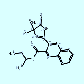 CC(CN)OC(=O)c1cc2ccccc2nc1C1=NC(C)(C(C)C)C(=O)N1